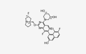 CCc1c(F)ccc2cc(O)cc(-c3ncc4c(N5C[C@H](O)C[C@@H](O)C5)nc(OC[C@@]56CCCN5C[C@H](F)C6)nc4c3F)c12